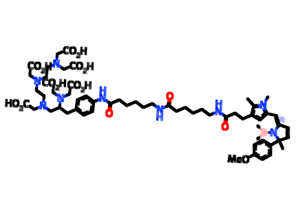 COc1ccc(C2(C)C=C/C(=C/c3cc(CCC(=O)NCCCCCC(=O)NCCCCCC(=O)Nc4ccc(CC(CN(CCN(CCN(CC(=O)O)CC(=O)O)CC(=O)O)CC(=O)O)N(CC(=O)O)CC(=O)O)cc4)c(C)n3C)N2B(C)C)cc1